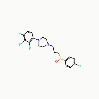 [O-][S+](CCCN1CCN(c2ccc(F)c(F)c2F)CC1)c1ccc(F)cc1